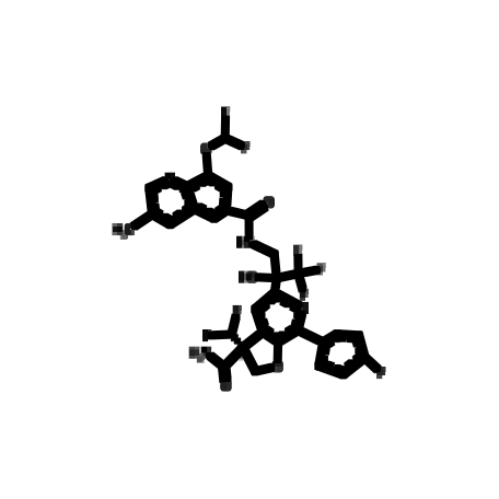 Cc1cnc2c(OC(F)F)cc(C(=O)NCC(O)(c3cc4c(c(-c5ccc(F)cc5)n3)OC[C@]4(C(N)=O)C(F)F)C(F)(F)F)cc2c1